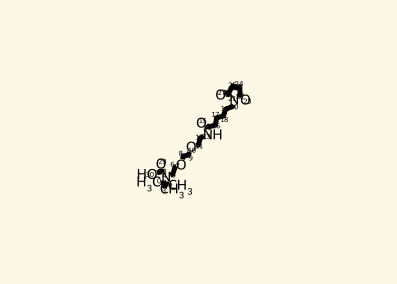 CC(C)(C)N(CCOCCOCCNC(=O)CCCCCN1C(=O)C=CC1=O)C(=O)O